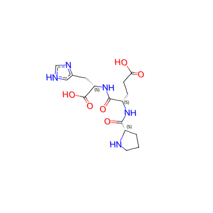 O=C(O)CC[C@H](NC(=O)[C@@H]1CCCN1)C(=O)N[C@@H](Cc1c[nH]cn1)C(=O)O